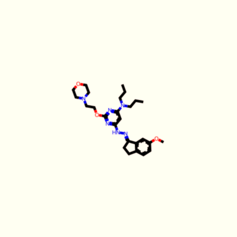 CCCN(CCC)c1cc(N/N=C2\CCc3ccc(OC)cc32)nc(OCCN2CCOCC2)n1